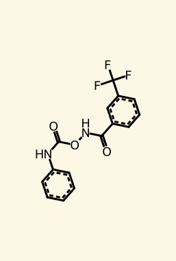 O=C(Nc1ccccc1)ONC(=O)c1cccc(C(F)(F)F)c1